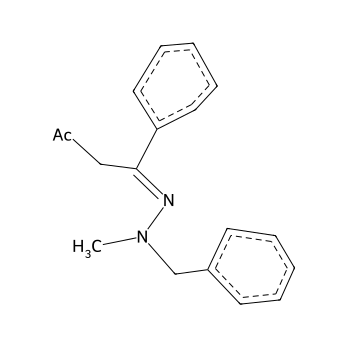 CC(=O)C/C(=N\N(C)Cc1ccccc1)c1ccccc1